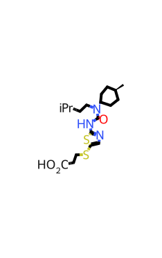 CC(C)CCN(C(=O)Nc1ncc(SCCC(=O)O)s1)[C@H]1CC[C@H](C)CC1